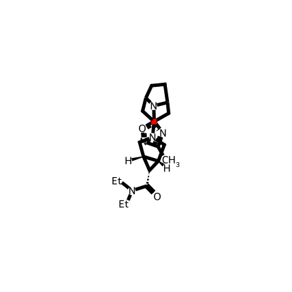 CCN(CC)C(=O)[C@@H]1[C@@H]2CN(C3CC4CCC(C3)N4c3nc(C)no3)C[C@@H]21